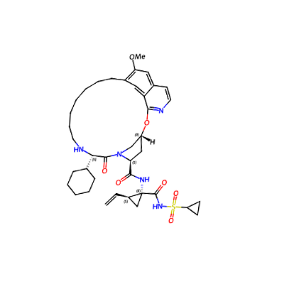 C=C[C@@H]1C[C@]1(NC(=O)[C@@H]1C[C@@H]2CN1C(=O)[C@H](C1CCCCC1)NCCCCCCCc1cc3c(nccc3cc1OC)O2)C(=O)NS(=O)(=O)C1CC1